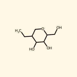 CCC1COC(CO)C(O)C1O